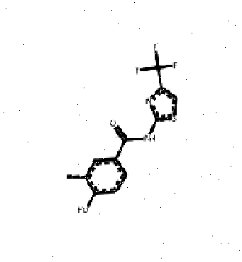 Cc1cc(C(=O)Nc2nc(C(F)(F)F)cs2)ccc1O